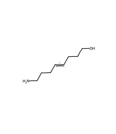 NCCC/C=C/CCCO